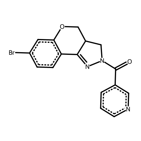 O=C(c1cccnc1)N1CC2COc3cc(Br)ccc3C2=N1